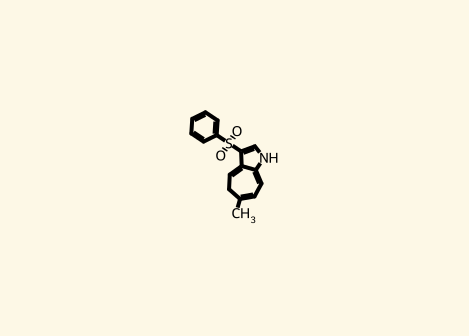 CC1=CC=c2[nH]cc(S(=O)(=O)c3ccccc3)c2=CC1